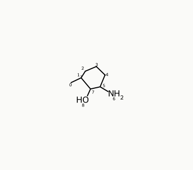 C[C]1CCCC(N)C1O